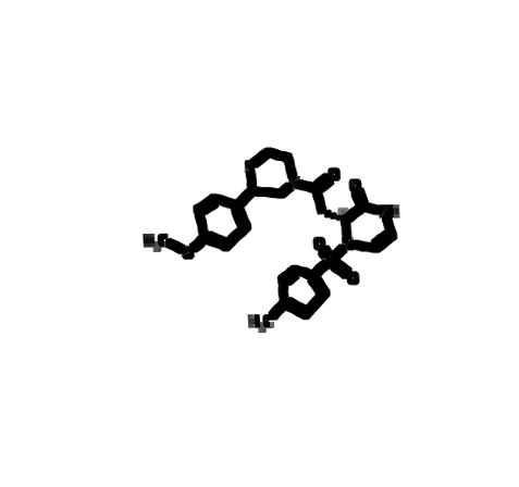 COc1ccc(C2CN(C(=O)C[C@@H]3C(=O)NC=CN3S(=O)(=O)c3ccc(C)cc3)CCS2)cc1